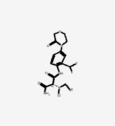 CCN(CC(C)C)[C@H](C(N)=O)C(=O)Nc1ccc(N2CCOCC2=O)cc1C(F)F